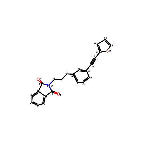 O=C1c2ccccc2C(=O)N1CCCc1cccc(C#Cc2cccs2)c1